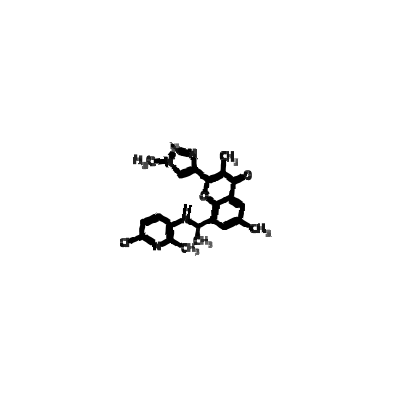 Cc1cc([C@@H](C)Nc2ccc(Cl)nc2C)c2oc(-c3cn(C)nn3)c(C)c(=O)c2c1